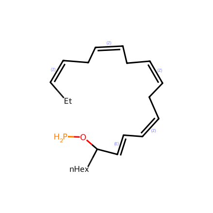 CC/C=C\C/C=C\C/C=C\C/C=C\C=C\C(CCCCCC)OP